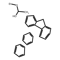 CCOC(C)O.c1ccc2c(c1)Cc1ccccc1-2.c1ccccc1.c1ccccc1